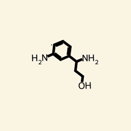 Nc1[c]ccc(C(N)CCO)c1